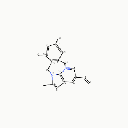 [CH2]c1cc2cc(C=C)cnc2n1Cc1c(C)cc(C)cc1C